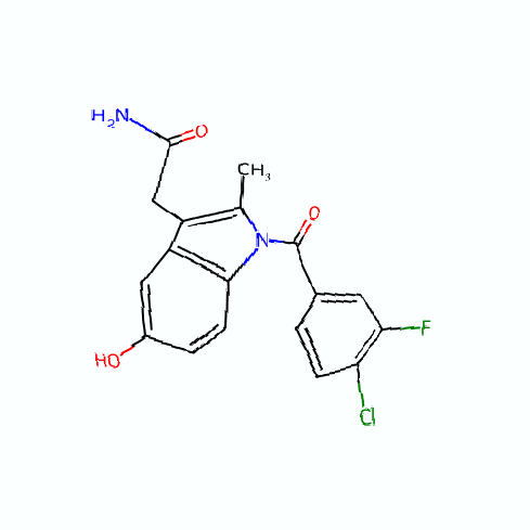 Cc1c(CC(N)=O)c2cc(O)ccc2n1C(=O)c1ccc(Cl)c(F)c1